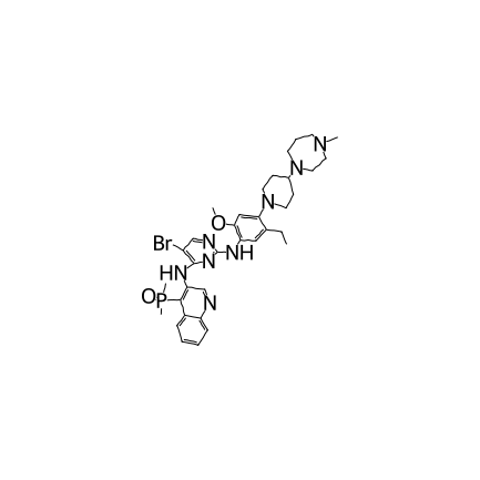 CCc1cc(Nc2ncc(Br)c(Nc3cnc4ccccc4c3P(C)(C)=O)n2)c(OC)cc1N1CCC(N2CCCN(C)CC2)CC1